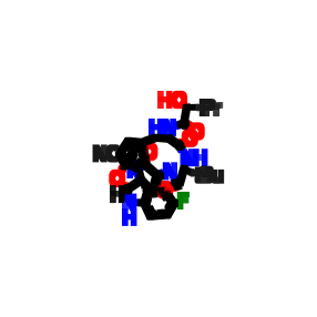 CC(C)[C@H](O)C(=O)NC1Cc2ccc3c(c2)[C@@]2(c4cc(F)ccc4N[C@@H]2O3)c2oc(nc2-c2nc(C#N)co2)[C@H](C(C)(C)C)NC1=O